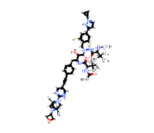 COC(=O)NC(C(=O)NC(Cc1ccc(C#Cc2cnc(N3C[C@H]4C[C@@H]3CN4C3COC3)nc2)cc1)C(O)CN(Cc1c(F)cc(-c2ccn(C3CC3)n2)cc1F)NC(=O)C(NC(=O)O)C(C)(C)C(F)(F)F)C(C)(C)C(F)(F)F